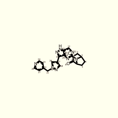 CN1CC2CCC(C1=O)N2c1ncc2[nH]nc(-c3cnn(Cc4ccncc4)c3)c2n1